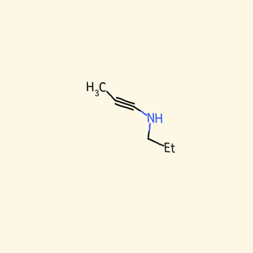 CC#CNCCC